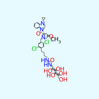 CO[C@@H]1C[C@@H](C(=O)N2CCN(C3CC3)c3ccccc32)N(Cc2cc(Cl)c(CCCCNC(=O)NC[C@H](O)[C@@H](O)[C@H](O)[C@H](O)CO)cc2Cl)C1